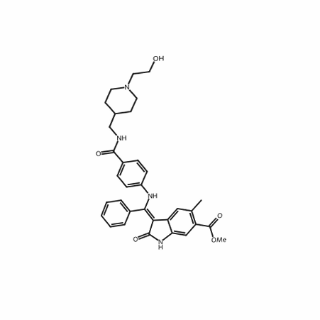 COC(=O)c1cc2c(cc1C)/C(=C(\Nc1ccc(C(=O)NCC3CCN(CCO)CC3)cc1)c1ccccc1)C(=O)N2